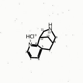 Cl.c1cnc2c(c1)CC1CNCC2C1